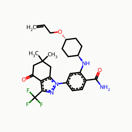 C=CCO[C@H]1CC[C@H](Nc2cc(-n3nc(C(F)(F)F)c4c3CC(C)(C)CC4=O)ccc2C(N)=O)CC1